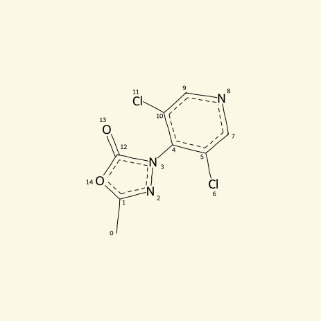 Cc1nn(-c2c(Cl)cncc2Cl)c(=O)o1